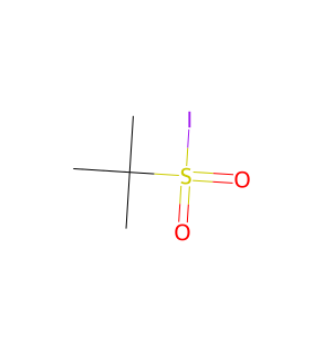 CC(C)(C)S(=O)(=O)I